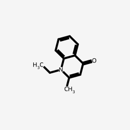 CCn1c(C)cc(=O)c2ccccc21